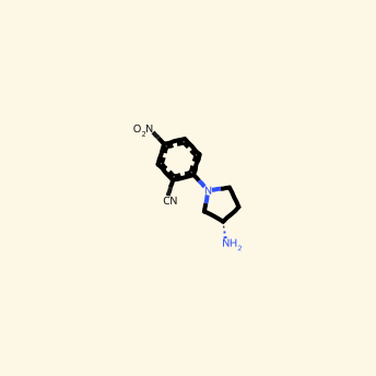 N#Cc1cc([N+](=O)[O-])ccc1N1CC[C@H](N)C1